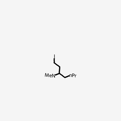 CCCCC(CCI)NC